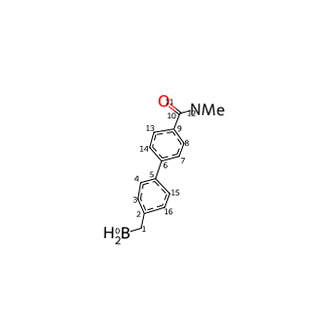 BCc1ccc(-c2ccc(C(=O)NC)cc2)cc1